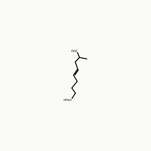 CCCCCCCC/C=C/CC(C)C=O